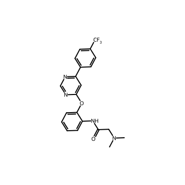 CN(C)CC(=O)Nc1ccccc1Oc1cc(-c2ccc(C(F)(F)F)cc2)ncn1